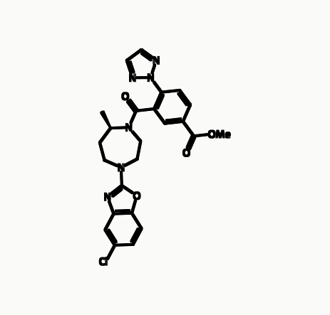 COC(=O)c1ccc(-n2nccn2)c(C(=O)N2CCN(c3nc4cc(Cl)ccc4o3)CC[C@H]2C)c1